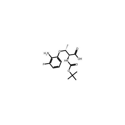 C[C@@H](Oc1cccc(F)c1N)[C@H](NC(=O)OC(C)(C)C)C(=O)O